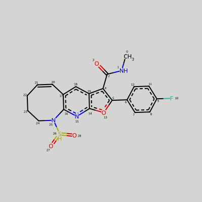 CNC(=O)c1c(-c2ccc(F)cc2)oc2nc3c(cc12)/C=C\CCCN3[SH](=O)=O